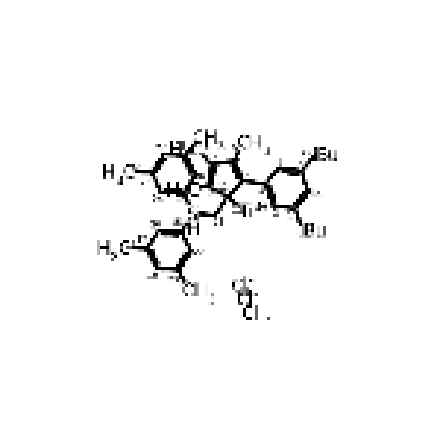 CCC(C)c1cc(C2=C(C)C(C)=C(C)[C]2([Ti+3])C[SiH](c2cc(C)cc(C)c2)c2cc(C)cc(C)c2)cc(C(C)CC)c1.[Cl-].[Cl-].[Cl-]